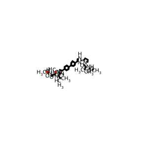 COC(=O)NC(=O)[C@@H](N[C@H](c1nc(-c2ccc(-c3ccc(-c4c[nH]c([C@@H]5CCCN5C(=O)[C@@H](NC(=O)OC)C(C)C)n4)cc3)cc2)c[nH]1)C(C)C)C(C)C